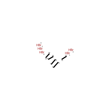 Br.Br.Br.Br.Br.CC.CC.CC.CC.CC